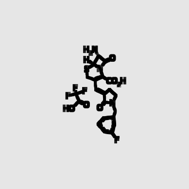 N[C@@H]1C(=O)N2C(C(=O)O)=C(C=C3CCN(Cc4cccc(F)c4)C3=O)CS[C@H]12.O=C(O)C(F)(F)F